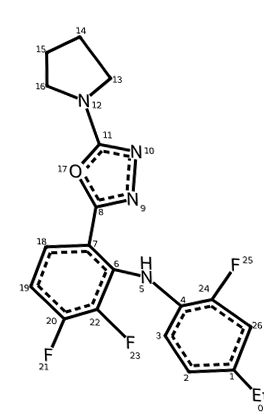 CCc1ccc(Nc2c(-c3nnc(N4CCCC4)o3)ccc(F)c2F)c(F)c1